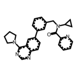 O=C(c1ccccn1)N(Cc1cccc(-c2ccc3ncnc(N4CCCC4)c3c2)c1)C1CC1